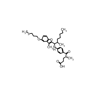 CCCCCC(C)C(Nc1ccc(C(=O)N(C)CCC(=O)O)cc1)c1oc2ccc(OCCCSC)cc2c1C